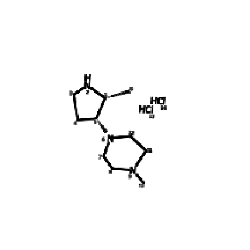 C[C@H]1NCC[C@H]1N1CCN(C)CC1.Cl.Cl